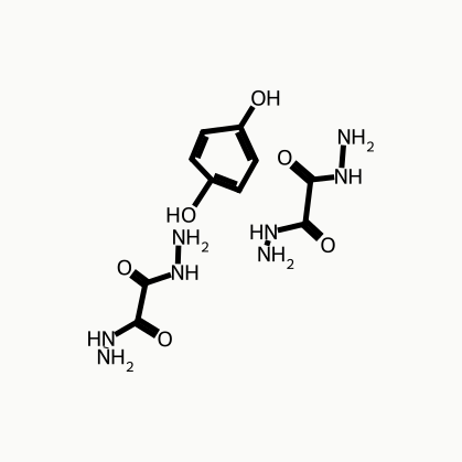 NNC(=O)C(=O)NN.NNC(=O)C(=O)NN.Oc1ccc(O)cc1